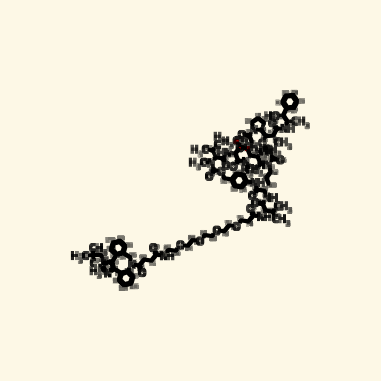 CC[C@H](C)[C@@H]([C@@H](CC(=O)N1CCC[C@H]1[C@H](OC)[C@@H](C)C(=O)N[C@H](C)[C@@H](O)c1ccccc1)OC)N(C)C(=O)[C@@H](NC(=O)[C@H](C(C)C)N(C)C(=O)OCc1ccc(NC(=O)[C@H](CCCNC(N)=O)NC(=O)[C@@H](NC(=O)CCOCCOCCOCCOCCNC(=O)CCC(=O)N2Cc3ccccc3-c3c(nnn3CC(C)(C)C)-c3ccccc32)C(C)C)cc1)C(C)C